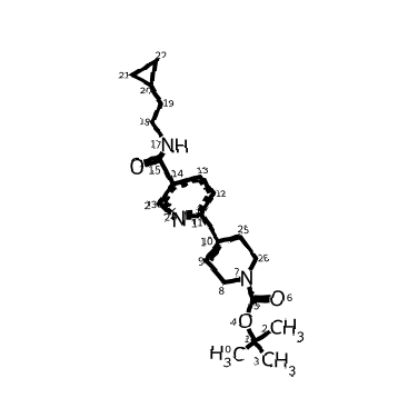 CC(C)(C)OC(=O)N1CC=C(c2ccc(C(=O)NCCC3CC3)cn2)CC1